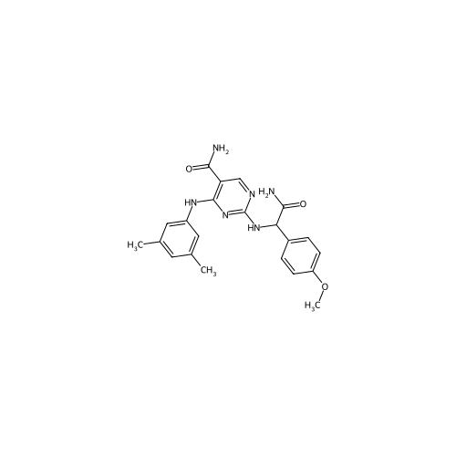 COc1ccc(C(Nc2ncc(C(N)=O)c(Nc3cc(C)cc(C)c3)n2)C(N)=O)cc1